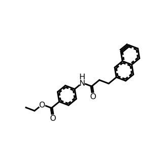 CCOC(=O)c1ccc(NC(=O)CCc2ccc3ccc#cc3c2)cc1